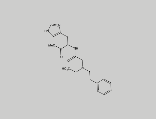 COC(=O)C(Cc1c[nH]cn1)NC(=O)CN(CCc1ccccc1)CC(=O)O